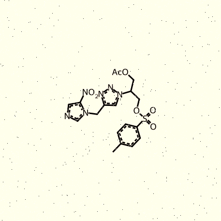 CC(=O)OCC(COS(=O)(=O)c1ccc(C)cc1)n1cc(Cn2cncc2[N+](=O)[O-])nn1